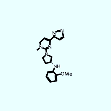 COc1ccccc1N[C@@H]1CCN(C2=NC(c3ccncn3)=CCN2C)C1